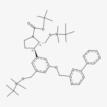 CC(C)(C)OC(=O)N1CC[C@H](c2cc(CO[Si](C)(C)C(C)(C)C)cc(OCc3cccc(-c4ccccc4)c3)c2)[C@H]1CO[Si](C)(C)C(C)(C)C